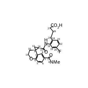 CNC(=O)c1ccc2c(c1)[C@]1(CCO2)C[C@H]1C(=O)Nc1cc(F)ccc1CCCC(=O)O